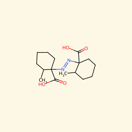 CC1CCCCC1(N=NC1(C(=O)O)CCCCC1C)C(=O)O